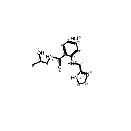 CC(O)CNC(=O)c1ccccc1NCC1=NCCN1.Cl